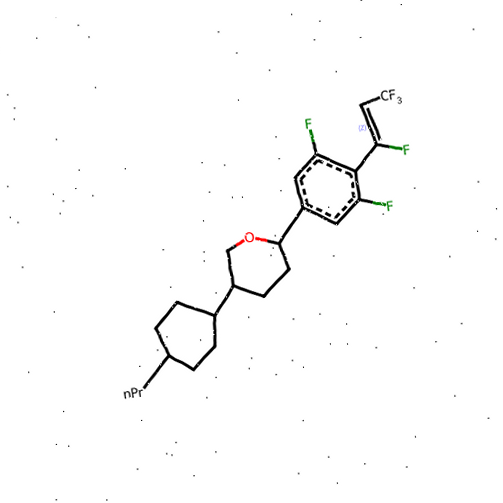 CCCC1CCC(C2CCC(c3cc(F)c(/C(F)=C/C(F)(F)F)c(F)c3)OC2)CC1